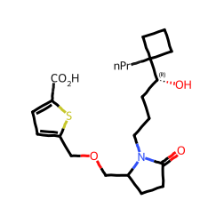 CCCC1([C@H](O)CCCN2C(=O)CCC2COCc2ccc(C(=O)O)s2)CCC1